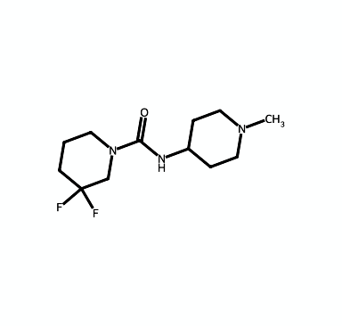 CN1CCC(NC(=O)N2CCCC(F)(F)C2)CC1